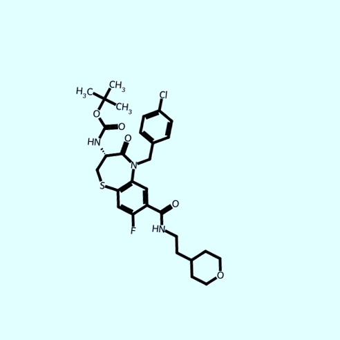 CC(C)(C)OC(=O)N[C@H]1CSc2cc(F)c(C(=O)NCCC3CCOCC3)cc2N(Cc2ccc(Cl)cc2)C1=O